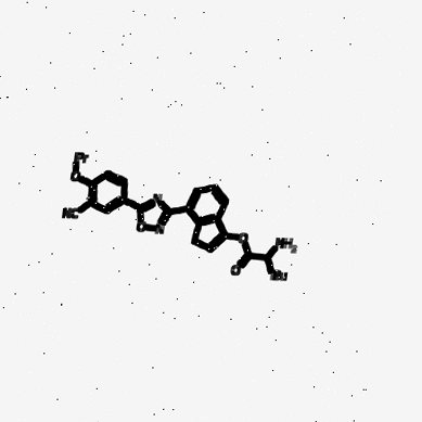 CCC(C)C(N)C(=O)OC1=CCc2c1cccc2-c1noc(-c2ccc(OC(C)C)c(C#N)c2)n1